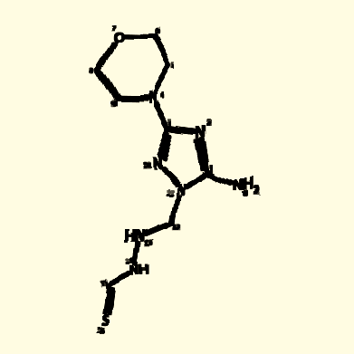 Nc1nc(N2CCOCC2)nn1CNNC=S